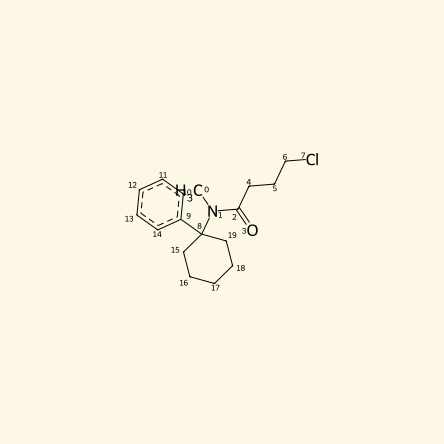 CN(C(=O)CCCCl)C1(c2ccccc2)CCCCC1